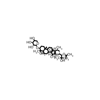 CC(=O)O[C@@H]([C@H]1C[C@@H](C)[C@H]2[C@H](O1)C(=O)[C@@]1(C)[C@@H]3CC[C@H]4C(C)(C)[C@@H](O[C@@H]5OCC(O)[C@H](O)[C@H]5O)CCC45C[C@@]35CC[C@]21C)C(C)(C)O